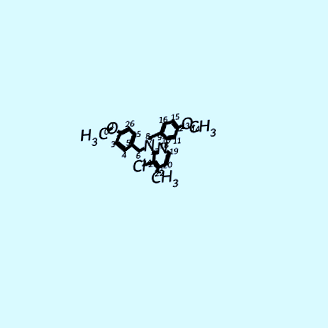 COc1ccc(CN(Cc2ccc(OC)cc2)c2nccc(C)c2Cl)cc1